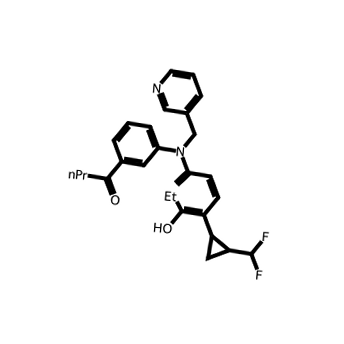 C=C(/C=C\C(=C(\O)CC)C1CC1C(F)F)N(Cc1cccnc1)c1cccc(C(=O)CCC)c1